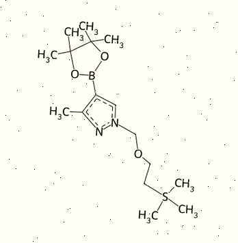 Cc1nn(COCCS(C)(C)C)cc1B1OC(C)(C)C(C)(C)O1